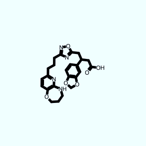 O=C(O)CC(Cc1nc(CCCc2ccc3c(n2)NCCCO3)no1)c1ccc2c(c1)OCO2